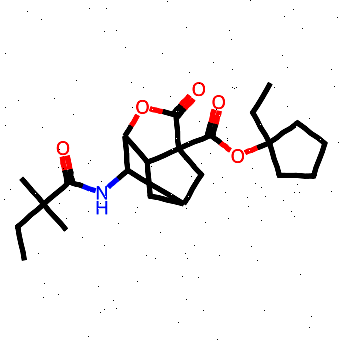 CCC1(OC(=O)C23CC4CC2C(OC3=O)C4NC(=O)C(C)(C)CC)CCCC1